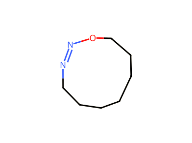 C1CCCN=NOCCC1